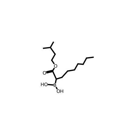 CCCCCCCC(B(O)O)C(=O)OCCC(C)C